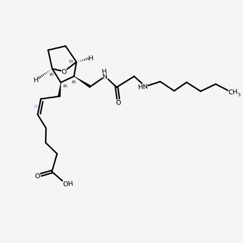 CCCCCCNCC(=O)NC[C@H]1[C@@H](C/C=C\CCCC(=O)O)[C@H]2CC[C@@H]1O2